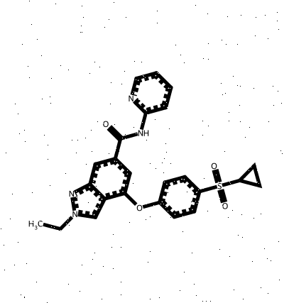 CCn1cc2c(Oc3ccc(S(=O)(=O)C4CC4)cc3)cc(C(=O)Nc3ccccn3)cc2n1